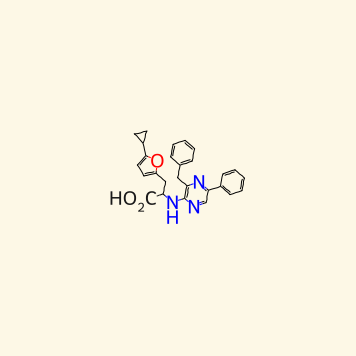 O=C(O)C(Cc1ccc(C2CC2)o1)Nc1ncc(-c2ccccc2)nc1Cc1ccccc1